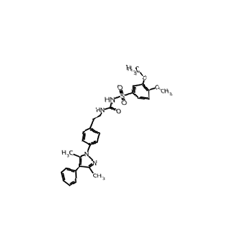 COc1ccc(S(=O)(=O)NC(=O)NCCc2ccc(-n3nc(C)c(-c4ccccc4)c3C)cc2)cc1OC